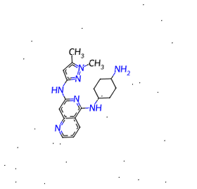 Cc1cc(Nc2cc3ncccc3c(NC3CCC(N)CC3)n2)nn1C